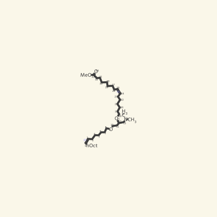 CCCCCCCC/C=C\CCCCCCOCCC(CN(C)C)OCCCCCC/C=C\CCCCCCCC(=O)OC